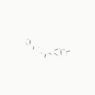 C=C1CCc2cc(/C=C/C(=O)N3CC4C=C(c5cn[nH]c5)CC4C3)cnc2N1